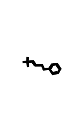 CC(C)(C)C=CC[CH]c1ccccc1